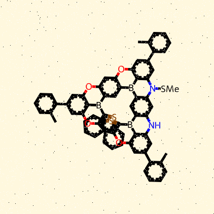 CSN1c2cc3c(cc2B2c4cc5c(cc4Oc4cc(-c6ccccc6C)cc1c42)Oc1cc(-c2ccccc2C)cc2c1B5c1sc4ccccc4c1O2)B1c2sc4ccccc4c2Oc2cc(-c4ccccc4C)cc(c21)N3